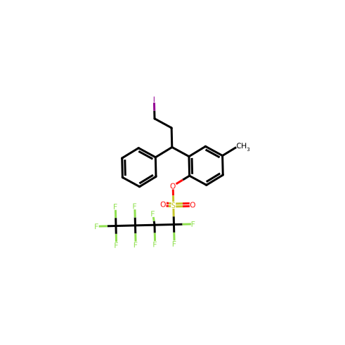 Cc1ccc(OS(=O)(=O)C(F)(F)C(F)(F)C(F)(F)C(F)(F)F)c(C(CCI)c2ccccc2)c1